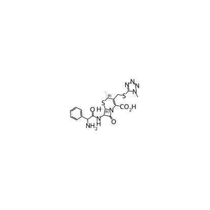 C[C@H]1S[C@@H]2C(NC(=O)C(N)c3ccccc3)C(=O)N2C(C(=O)O)=C1CSc1nnnn1C